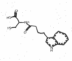 O=C(CCCc1c[nH]c2ccccc12)NC(CS)C(=O)O